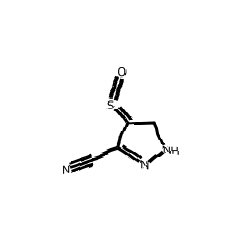 N#CC1=NNCC1=S=O